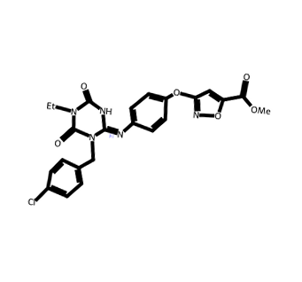 CCn1c(=O)[nH]/c(=N\c2ccc(Oc3cc(C(=O)OC)on3)cc2)n(Cc2ccc(Cl)cc2)c1=O